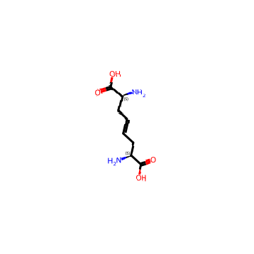 N[C@@H](CC=CC[C@H](N)C(=O)O)C(=O)O